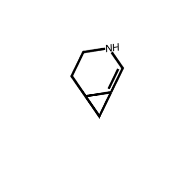 C1=C2CC2CCN1